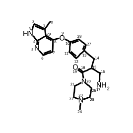 Cc1c[nH]c2nccc(Oc3ccc(CC(CN)C(=O)N4CCN(C)CC4)cc3)c12